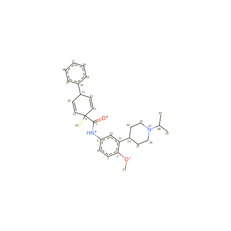 COc1ccc(NC(=O)C2(F)C=CC(c3ccccc3)C=C2)cc1C1CCN(C(C)C)CC1